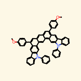 COc1ccc(-c2cc3cc4cc(-c5ccc(OC)cc5)c5cc6c7ccccc7n(-c7ccccc7)c6cc5c4cc3c3cc4c(cc23)c2ccccc2n4-c2ccccc2)cc1